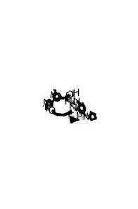 Cc1cc2cc(n1)-c1cnn(C)c1OCCC[C@@H](C1CC1)CN1/C(=N/C2=O)Nc2ccc(NC3CCCC3)cc21